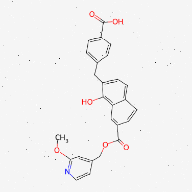 COc1cc(COC(=O)c2ccc3ccc(Cc4ccc(C(=O)O)cc4)c(O)c3c2)ccn1